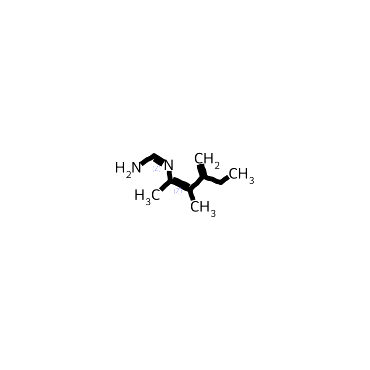 C=C(CC)/C(C)=C(C)\N=C/N